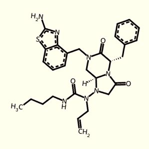 C=CCN(C(=O)NCCCC)N1CC(=O)N2[C@@H](Cc3ccccc3)C(=O)N(Cc3cccc4sc(N)nc34)C[C@@H]21